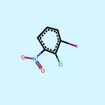 O=[N+]([O-])c1cccc(I)c1Cl